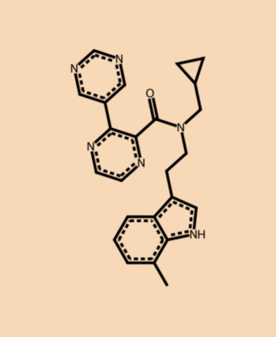 Cc1cccc2c(CCN(CC3CC3)C(=O)c3nccnc3-c3cncnc3)c[nH]c12